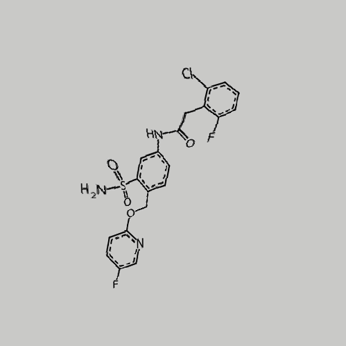 NS(=O)(=O)c1cc(NC(=O)Cc2c(F)cccc2Cl)ccc1COc1ccc(F)cn1